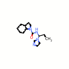 C=CC(NC(=O)n1ccc2ccccc21)n1ccnc1